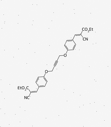 CCOC(=O)C(C#N)=Cc1ccc(OCC#CCOc2ccc(C=C(C#N)C(=O)OCC)cc2)cc1